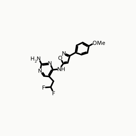 COc1ccc(-c2cc(Nc3nc(N)ncc3CC(F)F)on2)cc1